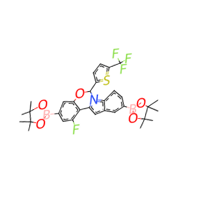 CC1(C)OB(c2cc(F)c3c(c2)OC(c2ccc(C(F)(F)F)s2)n2c-3cc3cc(B4OC(C)(C)C(C)(C)O4)ccc32)OC1(C)C